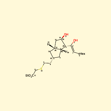 CCCCCCC=C(O)[C@@H]1[C@@H]2C[C@H](CCSCC(=O)OCC)C[C@@H]2C[C@H]1O